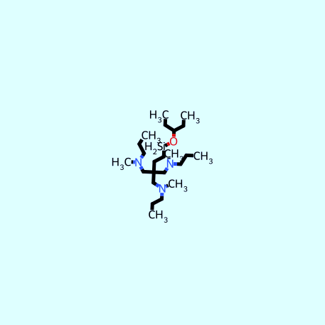 CCCN(C)CC(CC[SiH2]OC(CC)CC)(CN(C)CCC)CN(C)CCC